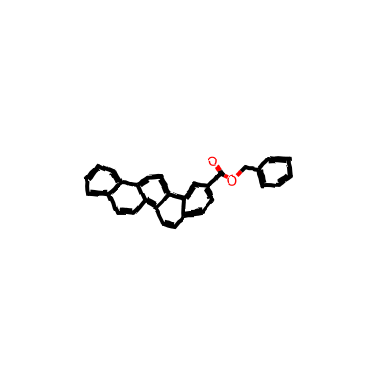 O=C(OCc1ccccc1)c1ccc2ccc3c(ccc4c5ccccc5ccc43)c2c1